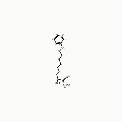 CCCC(CCCCCCCOc1ccccc1)C(=O)OC